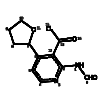 O=CNc1nccc(C2CCCO2)c1C(=O)Cl